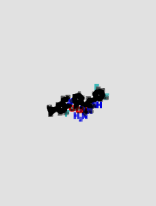 Nc1nc(-c2cccc(-n3ccc4cc(C5CC5)cc(F)c4c3=O)c2CO)c2cc(-c3cc(F)cc(F)c3)[nH]c2n1